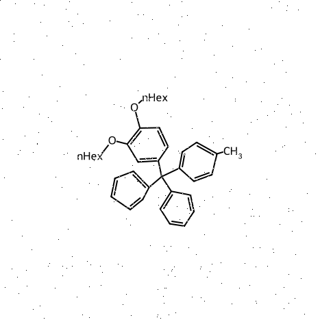 CCCCCCOc1ccc(C(c2ccccc2)(c2ccccc2)c2ccc(C)cc2)cc1OCCCCCC